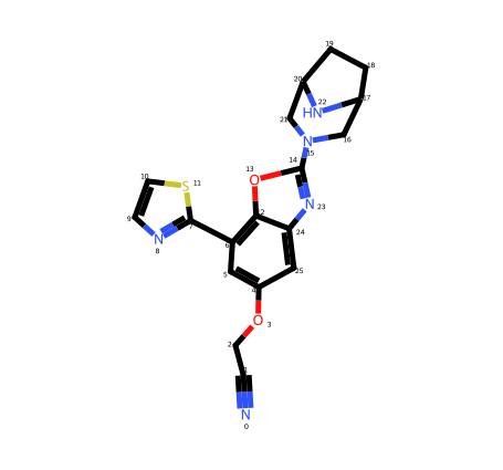 N#CCOc1cc(-c2nccs2)c2oc(N3CC4CCC(C3)N4)nc2c1